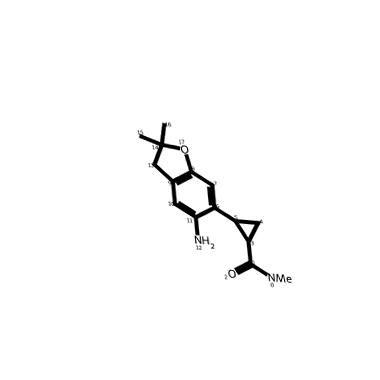 CNC(=O)C1CC1c1cc2c(cc1N)CC(C)(C)O2